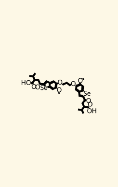 COc1cc2[se]c(C(=O)CC(C(=O)O)C(C)C)cc2cc1OCCCOc1cc2cc(C(=O)CC(C(=O)O)C(C)C)[se]c2cc1OC